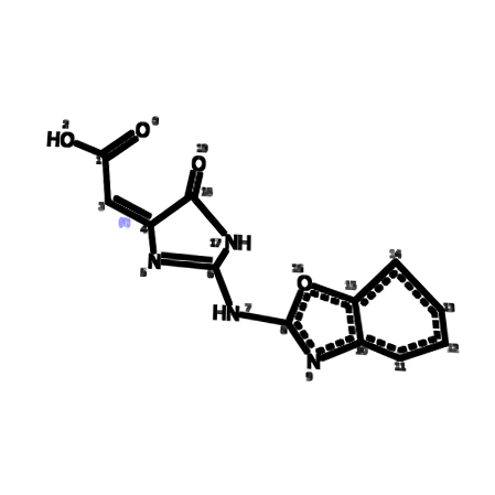 O=C(O)/C=C1/N=C(Nc2nc3ccccc3o2)NC1=O